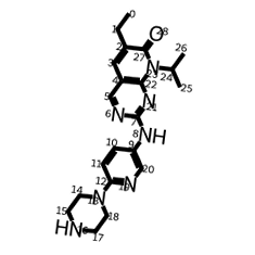 CCc1cc2cnc(Nc3ccc(N4CCNCC4)nc3)nc2n(C(C)C)c1=O